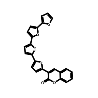 O=c1oc2ccccc2cc1-c1ccc(-c2ccc(-c3ccc(-c4cccs4)s3)s2)s1